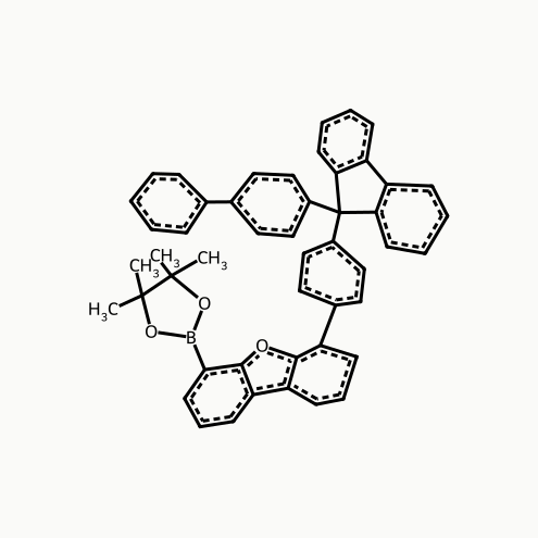 CC1(C)OB(c2cccc3c2oc2c(-c4ccc(C5(c6ccc(-c7ccccc7)cc6)c6ccccc6-c6ccccc65)cc4)cccc23)OC1(C)C